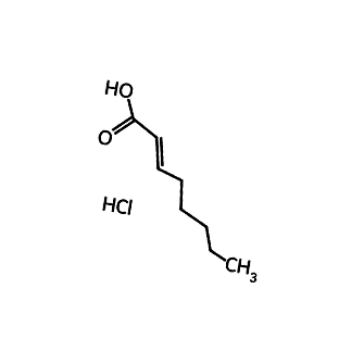 CCCCCC=CC(=O)O.Cl